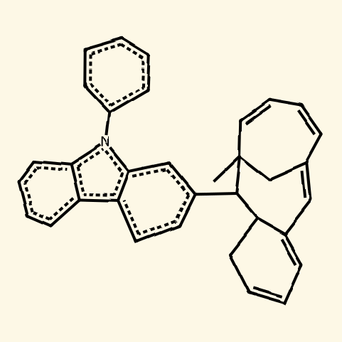 CC12C=CC=CC(=CC3=CC=CCC3C1c1ccc3c4ccccc4n(-c4ccccc4)c3c1)C2